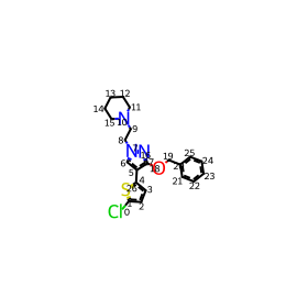 Clc1ccc(-c2cn(CCN3CCCCC3)nc2OCc2ccccc2)s1